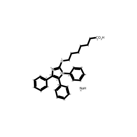 O=C(O)CCCCCCOc1nc(-c2ccccc2)c(-c2ccccc2)n1-c1ccccc1.[NaH]